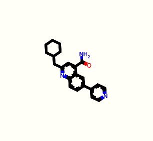 NC(=O)c1cc(CC2CCCCC2)nc2ccc(-c3ccncc3)cc12